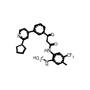 Cc1cc(NC(=O)O)c(NC(=O)CC(=O)c2cccc(-c3ccnc(C4CCCC4)c3)c2)cc1C(F)(F)F